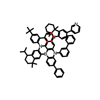 CC(C)C1CCC(C)(C)c2cc3c(cc21)N(c1ccc(C(C)(C)C)cc1-c1ccccc1)c1cc(N2c4ccc(-c5cccnc5)cc4C4(C)CCCCC24C)cc2c1B3c1ccc(-c3ccccc3)cc1N2c1cccc(-c2ccccc2)c1